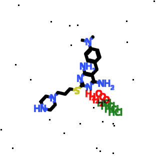 CN(C)c1ccc(Cc2c(N)nc(SCCCN3CCNCC3)nc2N)cc1.Cl.Cl.Cl.Cl.O.O.O